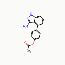 CC(=O)Oc1ccc(-c2cccc3[nH]nc(N)c23)cc1